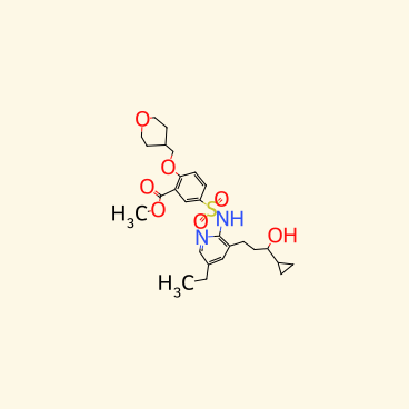 CCc1cnc(NS(=O)(=O)c2ccc(OCC3CCOCC3)c(C(=O)OC)c2)c(CCC(O)C2CC2)c1